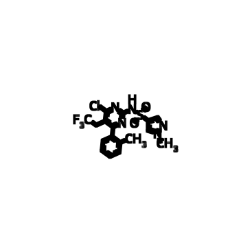 Cc1ccccc1-c1nc(NS(=O)(=O)c2cnn(C)c2)nc(Cl)c1CC(F)(F)F